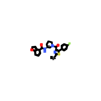 Cc1nc(C(=O)N2CCC[C@@H](NC(=O)c3cccc4occc34)C2)c(-c2ccc(F)cc2)s1